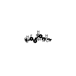 CC(C)CC(=O)Nc1cncc(-c2ccc3[nH]nc(-c4cc5c(-c6cc(F)cc(CNS(C)(=O)=O)c6)cccc5[nH]4)c3c2)c1